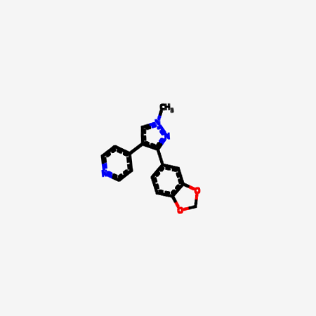 Cn1cc(-c2ccncc2)c(-c2ccc3c(c2)OCO3)n1